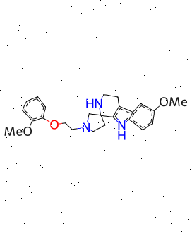 COc1ccc2[nH]c3c(c2c1)CCNC31CCN(CCOc2ccccc2OC)C1